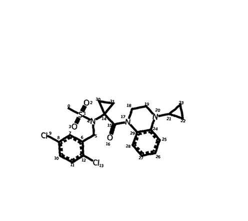 CS(=O)(=O)N(Cc1cc(Cl)ccc1Cl)C1(C(=O)N2CCN(C3CC3)c3ccccc32)CC1